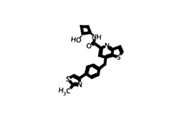 Cc1nc(-c2ccc(Cc3cc(C(=O)N[C@@H]4CC[C@H]4O)nc4ccsc34)cc2)cs1